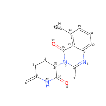 C=C1CC[C@H](n2c(C)nc3cccc(C(C)(C)C)c3c2=O)C(=O)N1